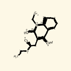 CCOC(=O)CC1=C(O)c2ccccc2N(CC)C1O